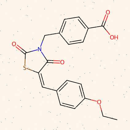 CCOc1ccc(/C=C2/SC(=O)N(Cc3ccc(C(=O)O)cc3)C2=O)cc1